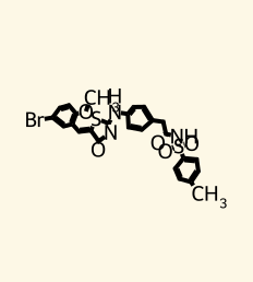 COc1ccc(Br)cc1C=C1SC(Nc2ccc(CC(=O)NS(=O)(=O)c3ccc(C)cc3)cc2)=NC1=O